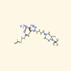 CCCCCc1cc2c(ncn2CCCCN2CCN(C(C)(C)C)CC2)c(N)n1